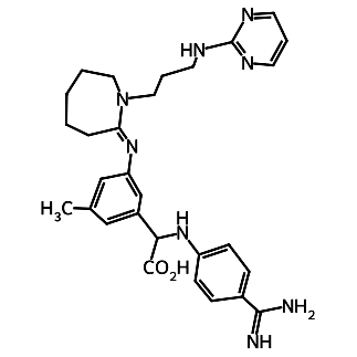 Cc1cc(N=C2CCCCCN2CCCNc2ncccn2)cc(C(Nc2ccc(C(=N)N)cc2)C(=O)O)c1